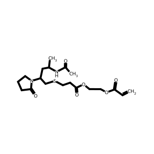 C=CC(=O)OCCOC(=O)CCSCC(CC(C)NC(C)=O)N1CCCC1=O